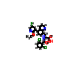 COc1ncc(F)cc1-c1ccc(C[C@H](NC(=O)c2c(Cl)cccc2Cl)C(=O)O)c2ncccc12